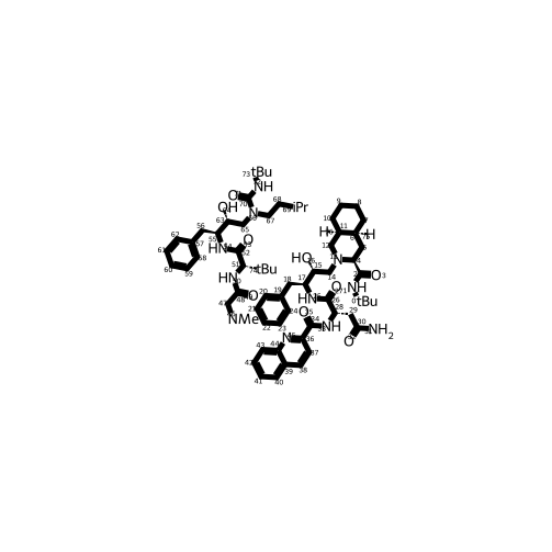 CC(C)(C)NC(=O)[C@@H]1C[C@@H]2CCCC[C@@H]2CN1C[C@@H](O)[C@H](Cc1ccccc1)NC(=O)[C@H](CC(N)=O)NC(=O)c1ccc2ccccc2n1.CNCC(=O)N[C@H](C(=O)N[C@@H](Cc1ccccc1)[C@H](O)CN(CCC(C)C)C(=O)NC(C)(C)C)C(C)(C)C